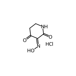 Cl.O=C1CCNC(=O)C1=NO